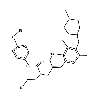 CCOc1ccc(NC(=S)N(CCO)CC2=Cc3cc(C)c(CN4CCN(C)CC4)c(C)c3NC2)cc1